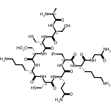 CC(C)C[C@H](NC(=O)[C@H](CCC(N)=O)NC(=O)[C@H](CS)NC(=O)[C@H](CCCCN)NC(=O)[C@H](CC(=O)O)NC(=O)[C@H](CS)NC(=O)[C@H](CO)NC(=O)[C@H](C)N)C(=O)N[C@@H](CCCCN)C(=O)NCC(N)=O